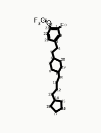 Fc1cc(CCC2CCC(CCCCC3CCCC3)CC2)ccc1OC(F)(F)F